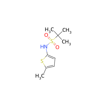 Cc1ccc(NS(=O)(=O)C(C)(C)C)s1